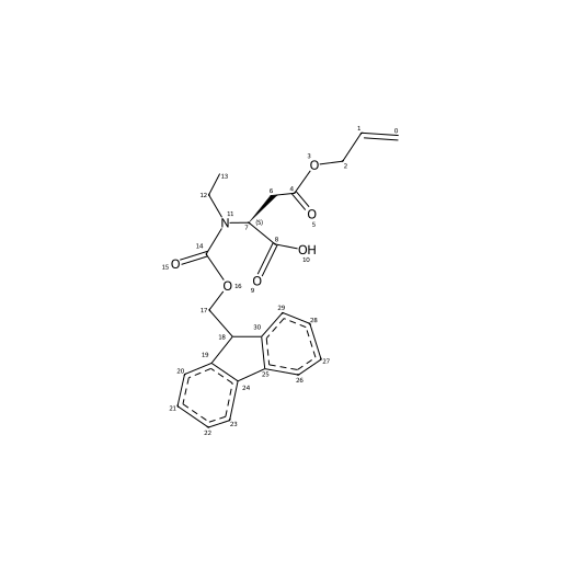 C=CCOC(=O)C[C@@H](C(=O)O)N(CC)C(=O)OCC1c2ccccc2-c2ccccc21